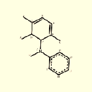 CC1=CC=C(C)C(N(C)c2ccccc2)C1C